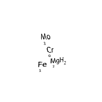 [Cr].[Fe].[MgH2].[Mo]